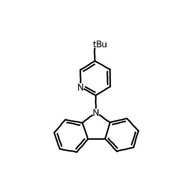 CC(C)(C)c1ccc(-n2c3ccccc3c3ccccc32)nc1